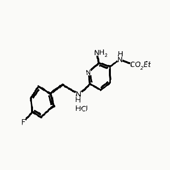 CCOC(=O)Nc1ccc(NCc2ccc(F)cc2)nc1N.Cl